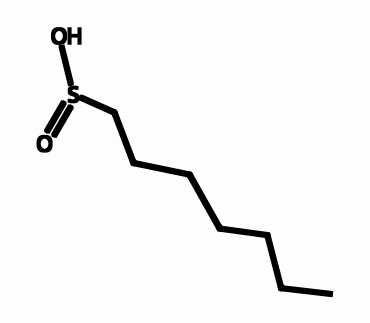 CCCCCCCS(=O)O